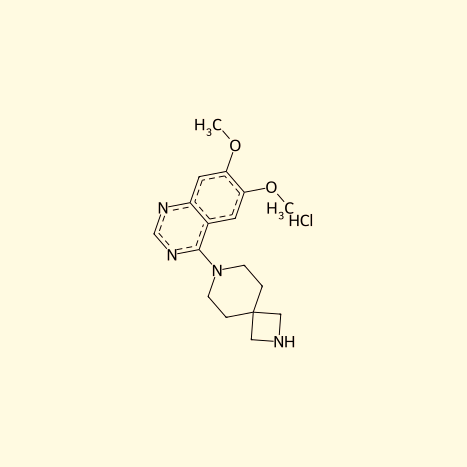 COc1cc2ncnc(N3CCC4(CC3)CNC4)c2cc1OC.Cl